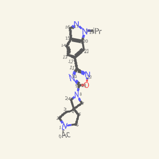 CC(=O)N1CCC2(CC1)CN(c1nc(-c3ccc4cnn(C(C)C)c4c3)no1)C2